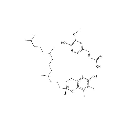 COc1cc(C=CC(=O)O)ccc1O.Cc1c(C)c2c(c(C)c1O)CC[C@@](C)(CCCC(C)CCCC(C)CCCC(C)C)O2